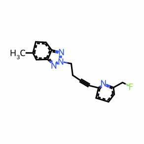 Cc1ccc2nn(CCC#Cc3cccc(CF)n3)nc2c1